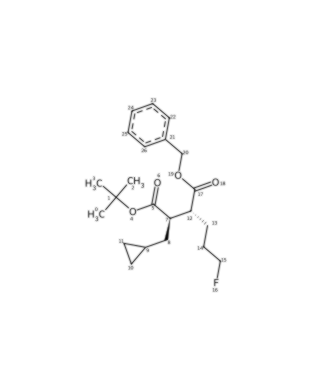 CC(C)(C)OC(=O)[C@H](CC1CC1)[C@@H](CCCF)C(=O)OCc1ccccc1